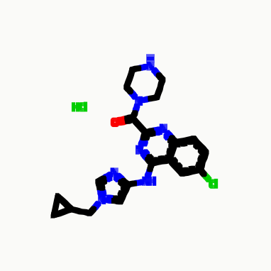 Cl.O=C(c1nc(Nc2cn(CC3CC3)cn2)c2cc(Cl)ccc2n1)N1CCNCC1